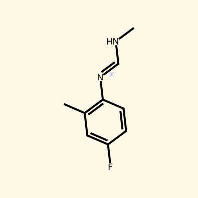 CN/C=N/c1ccc(F)cc1C